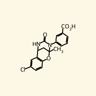 CC12CC(NC(=O)N1c1cccc(C(=O)O)c1)c1cc(Cl)ccc1O2